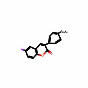 CNc1ccc(-c2cc3cc(I)ccc3oc2=O)cc1